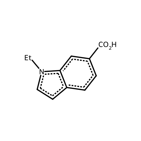 CCn1ccc2ccc(C(=O)O)cc21